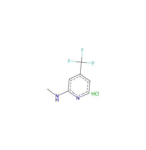 CNc1cc(C(F)(F)F)ccn1.Cl